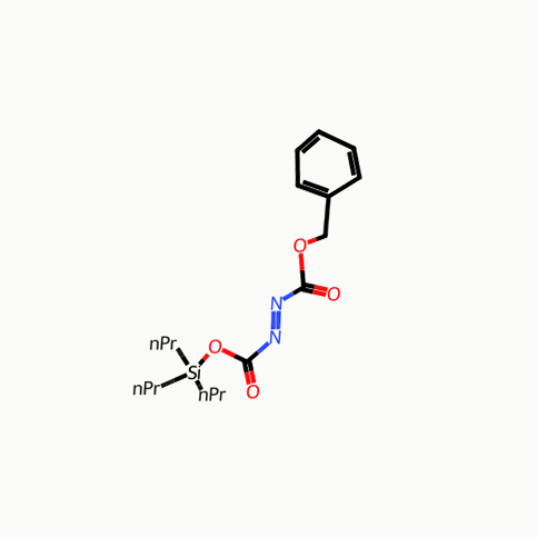 CCC[Si](CCC)(CCC)OC(=O)/N=N/C(=O)OCc1ccccc1